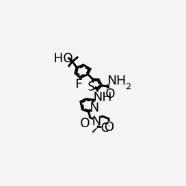 C[C@@H]1COCCN1C(=O)c1cccc(Nc2sc(-c3ccc(C(C)(C)O)cc3F)cc2C(N)=O)n1